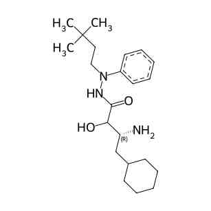 CC(C)(C)CCN(NC(=O)C(O)[C@H](N)CC1CCCCC1)c1ccccc1